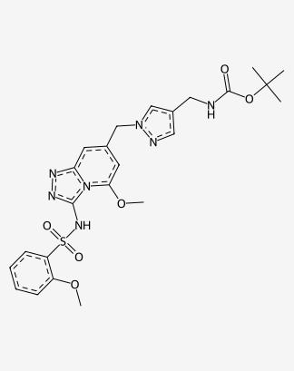 COc1ccccc1S(=O)(=O)Nc1nnc2cc(Cn3cc(CNC(=O)OC(C)(C)C)cn3)cc(OC)n12